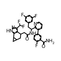 NC(=O)c1cc(-c2cccnc2C(Cc2cc(F)cc(F)c2)NC(=O)CC2CC3CC3c3[nH]nc(C(F)F)c32)ccc1F